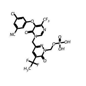 CC(F)(F)c1cc(Cn2cnc(C(F)(F)F)c(Oc3cc(Cl)cc(C#N)c3)c2=O)nn(COP(=O)(O)O)c1=O